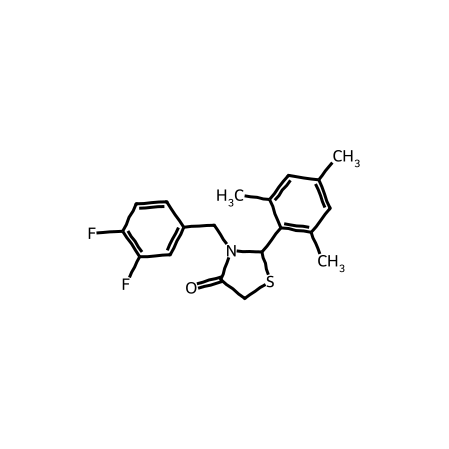 Cc1cc(C)c(C2SCC(=O)N2Cc2ccc(F)c(F)c2)c(C)c1